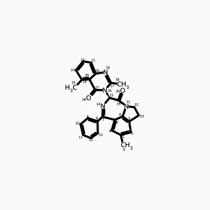 Cc1cc2c3c(c1)C(c1ccccc1)=N[C@@H](n1c(C)nc4cccc(C)c4c1=O)C(=O)N3CC2